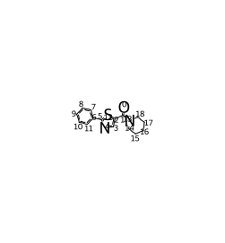 O=C(c1cnc(-c2ccccc2)s1)N1CCCCC1